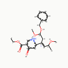 CCOC(=O)c1c[nH]c(/C(=C/C(C)OC)CC(OC)OCc2ccccc2)cc1=O